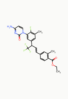 CCOC(=O)c1ccc(/C=C/C(c2cc(C)c(F)c(-n3ccc(N)nc3=O)c2)C(F)(F)F)cc1C